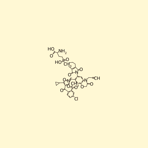 C#CCN1C(=O)COc2cc(F)c(N3C(=O)C4=C(CCCC4)C3=O)cc21.CP(=O)(O)CCC(N)C(=O)O.CS(=O)(=O)c1cc(Cl)ccc1C(=O)c1cnoc1C1CC1